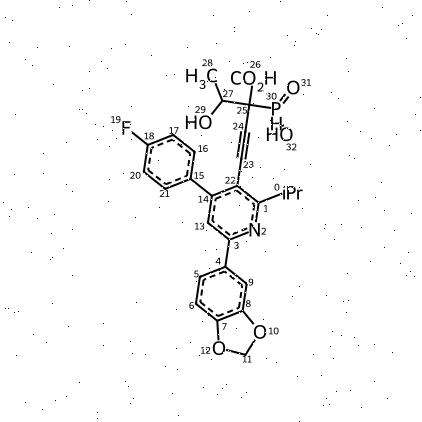 CC(C)c1nc(-c2ccc3c(c2)OCO3)cc(-c2ccc(F)cc2)c1C#CC(C(=O)O)(C(C)O)[PH](=O)O